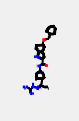 C/C(=N/NC(=N)N)c1ccc(NC(=O)c2cc3cc(OCc4ccccc4)ccc3[nH]2)cc1